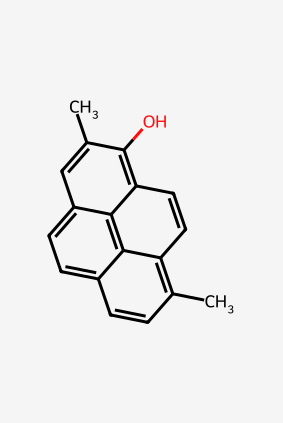 Cc1cc2ccc3ccc(C)c4ccc(c1O)c2c34